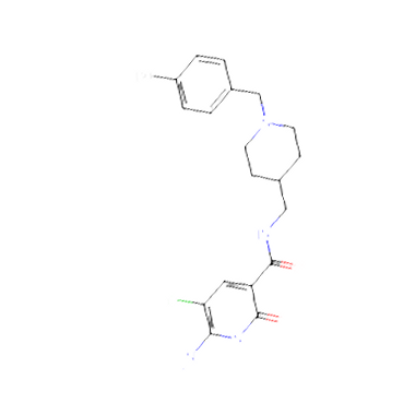 CC(C)(C)c1ccc(CN2CCC(CNC(=O)c3cc(Cl)c(N)[nH]c3=O)CC2)cc1